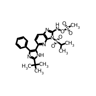 CC(C)S(=O)(=O)n1c(NOS(C)(=O)=O)nc2ccc(-c3[nH]c(C(C)(C)C)nc3-c3ccccc3)nc21